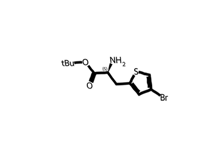 CC(C)(C)OC(=O)[C@@H](N)Cc1cc(Br)cs1